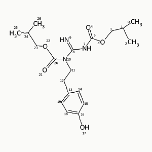 CC(C)COC(=O)NC(=N)N(CCc1ccc(O)cc1)C(=O)OCC(C)C